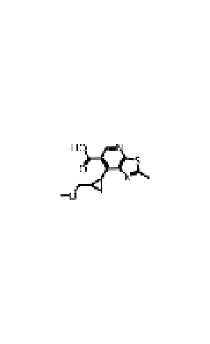 COCC1CC1c1c(C(=O)O)cnc2sc(C)nc12